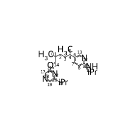 CC(CCC(C)c1ccc(NC(C)C)nc1)COc1cncc(C(C)C)n1